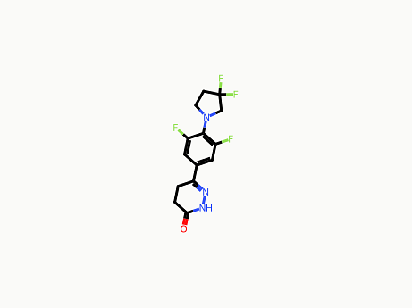 O=C1CCC(c2cc(F)c(N3CCC(F)(F)C3)c(F)c2)=NN1